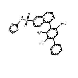 COc1cc(-c2ccccc2)c(C)c(C)c1-c1nccc2cc(S(=O)(=O)Nc3ccon3)ccc12